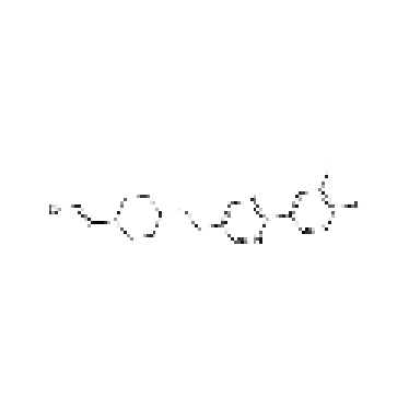 CCC=C[C@H]1CC[C@H](CCc2cnc(-c3ccc(F)c(F)c3)nc2)CC1